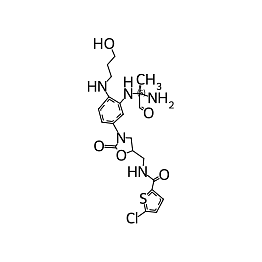 C[C@@](N)(C=O)Nc1cc(N2CC(CNC(=O)c3ccc(Cl)s3)OC2=O)ccc1NCCCO